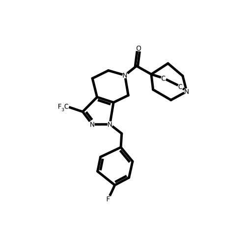 O=C(N1CCc2c(C(F)(F)F)nn(Cc3ccc(F)cc3)c2C1)C12CCN(CC1)CC2